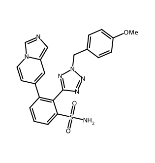 COc1ccc(Cn2nnc(-c3c(-c4ccn5cncc5c4)cccc3S(N)(=O)=O)n2)cc1